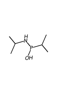 CC(C)NP(O)C(C)C